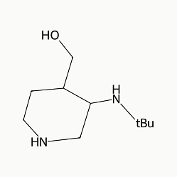 CC(C)(C)NC1CNCCC1CO